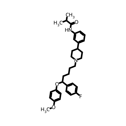 COc1ccc(OC(CCCCN2CCC(c3cccc(NC(=O)C(C)C)c3)CC2)c2ccc(F)cc2)cc1